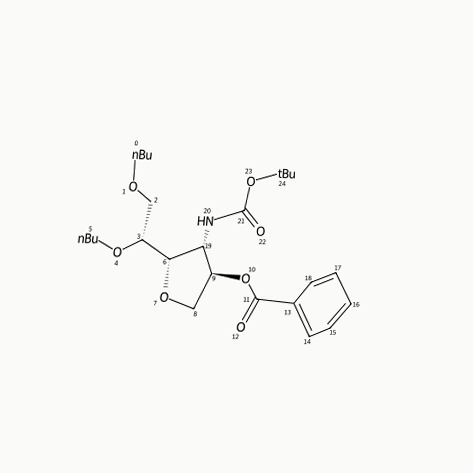 CCCCOC[C@@H](OCCCC)[C@H]1OC[C@H](OC(=O)c2ccccc2)[C@H]1NC(=O)OC(C)(C)C